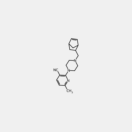 Cc1ccc(C#N)c(N2CCN(CC3CC4C=CC3C4)CC2)n1